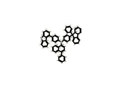 C1=CC2c3ccccc3C(c3ccccc3)(c3ccc(N(c4ccc(-c5cccc6sc7ccccc7c56)cc4)c4ccc(-c5ccccc5)c5ccccc45)cc3)C2C=C1